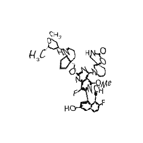 C#Cc1c(F)ccc2cc(O)cc(-c3nc(OC)c4c(N5CCC[C@]6(CNC(=O)O6)C5)nc(OC[C@]56CCC[C@H]5N(C5C[C@@H](C)O[C@@H](C)C5)CCC6)nc4c3F)c12